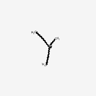 CCCCCCCCCCCCCCCCCc1n(CCCCCCCCCCCCCCC)cc[n+]1CCCCCCCC